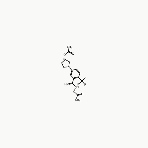 CC(=O)ONC(=N)c1cc(N2CC[C@H](OC(C)=O)C2)ccc1C(F)(F)F